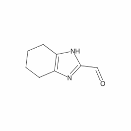 O=Cc1nc2c([nH]1)CCCC2